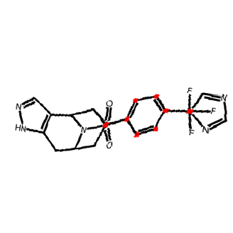 O=S(=O)(c1ccc(C(F)(F)F)cc1)N1C2Cc3[nH]ncc3C1CC(c1ccc(-n3cncn3)cc1)C2